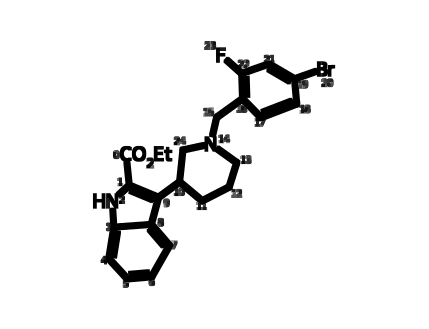 CCOC(=O)c1[nH]c2ccccc2c1C1CCCN(Cc2ccc(Br)cc2F)C1